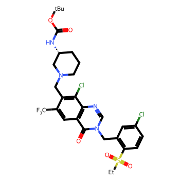 CCS(=O)(=O)c1ccc(Cl)cc1Cn1cnc2c(Cl)c(CN3CCC[C@@H](NC(=O)OC(C)(C)C)C3)c(C(F)(F)F)cc2c1=O